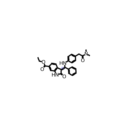 CCOC(=O)c1ccc2c(c1)NC(=O)/C2=C(/Nc1ccc(CC(=O)N(C)C)cc1)c1ccccc1